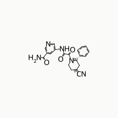 N#C[C@@H]1CCN(C(=O)C(=O)Nc2cncc(C(N)=O)c2)[C@H](c2ccccc2)C1